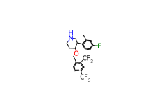 Cc1cc(F)ccc1C1CNCCC1OCc1ccc(C(F)(F)F)cc1C(F)(F)F